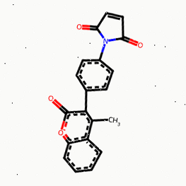 Cc1c(-c2ccc(N3C(=O)C=CC3=O)cc2)c(=O)oc2ccccc12